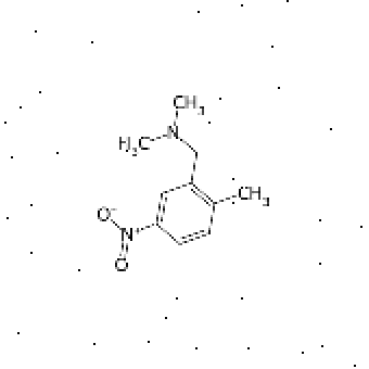 Cc1ccc([N+](=O)[O-])cc1CN(C)C